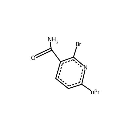 CCCc1ccc(C(N)=O)c(Br)n1